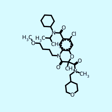 COCCCCN1C(=O)C(C)(C(=O)N(C)CC2CCOCC2)Oc2cc(Cl)c(C(=O)N(C(C)C)C3CCCCC3)cc21